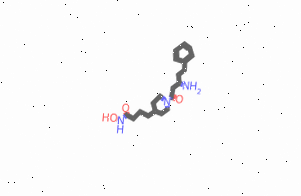 NC(CCc1ccccc1)CC(=O)N1CCC(CCCC(=O)NO)CC1